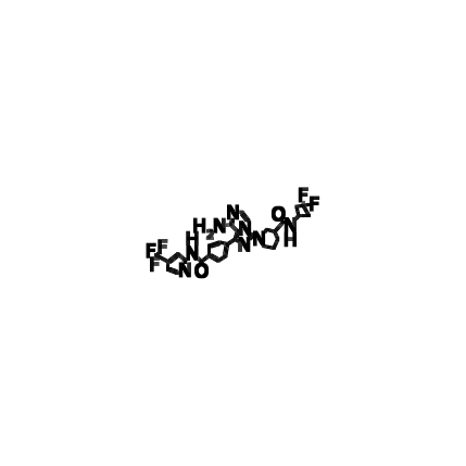 Nc1nccn2c(N3CCCC(C(=O)NC4CC(F)(F)C4)C3)nc(-c3ccc(C(=O)Nc4cc(C(F)(F)F)ccn4)cc3)c12